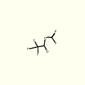 [O]C(OC(F)F)C(F)(F)F